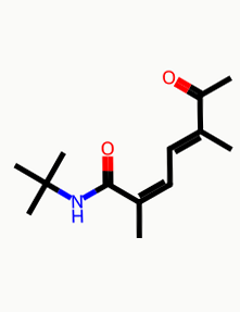 CC(=O)/C(C)=C/C=C(/C)C(=O)NC(C)(C)C